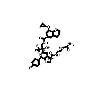 C[C@]1(C(=O)NCCNC(N)=O)COc2c1cc([C@@](O)(CNC(=O)c1cc(OC3CC3)c3ncccc3c1)C(F)(F)F)nc2-c1ccc(F)cc1